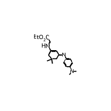 CCOC(=O)CNC1=C/C(=N/c2ccc(N(C)C)cc2)CC(C)(C)C1